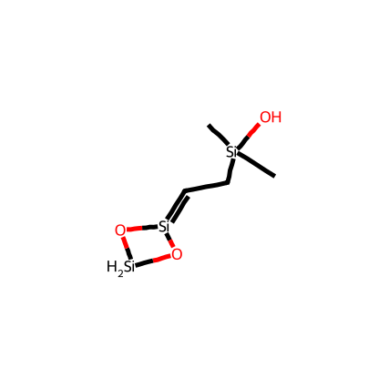 C[Si](C)(O)CC=[Si]1O[SiH2]O1